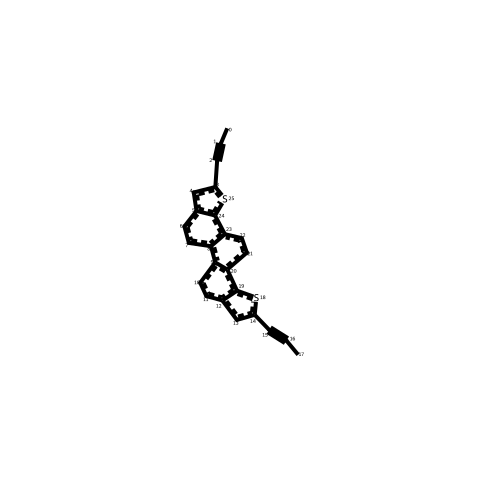 CC#Cc1cc2ccc3c4ccc5cc(C#CC)sc5c4ccc3c2s1